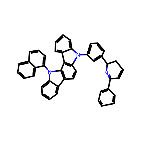 C1=CC(c2ccccc2)=NC(c2cccc(-n3c4ccccc4c4c3ccc3c5ccccc5n(-c5cccc6ccccc56)c34)c2)C1